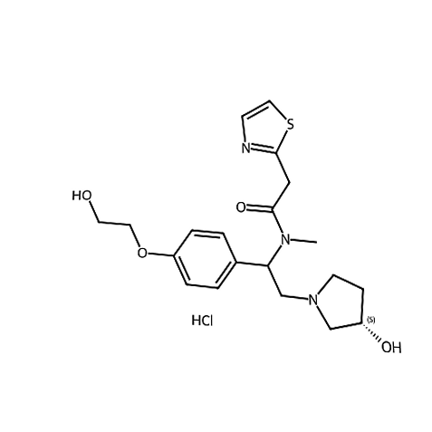 CN(C(=O)Cc1nccs1)C(CN1CC[C@H](O)C1)c1ccc(OCCO)cc1.Cl